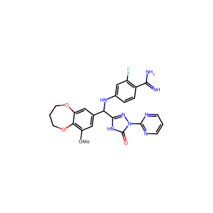 COc1cc(C(Nc2ccc(C(=N)N)c(F)c2)c2nn(-c3ncccn3)c(=O)[nH]2)cc2c1OCCCO2